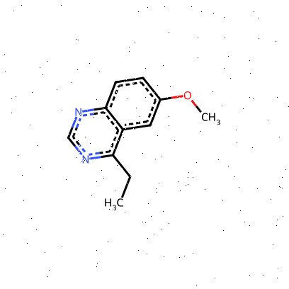 CCc1ncnc2ccc(OC)cc12